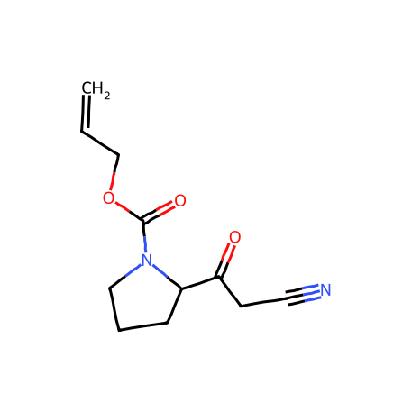 C=CCOC(=O)N1CCCC1C(=O)CC#N